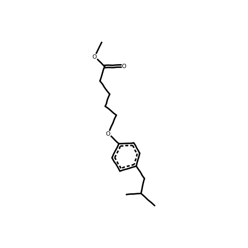 COC(=O)CCCCOc1ccc(CC(C)C)cc1